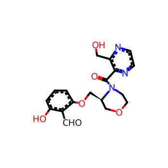 O=Cc1c(O)cccc1OC[C@@H]1COCCN1C(=O)c1nccnc1CO